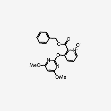 COc1cc(OC)nc(Oc2ccc[n+]([O-])c2C(=O)OCc2ccccc2)n1